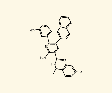 CC(NC(=O)c1nc(-c2ccc3ncccc3c2)c(-c2cccc(C#N)c2)nc1N)c1ccc(F)cn1